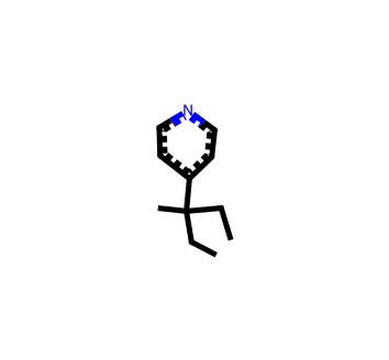 CCC(C)(CC)c1ccncc1